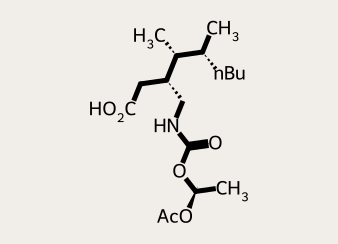 CCCC[C@@H](C)[C@@H](C)[C@H](CNC(=O)O[C@@H](C)OC(C)=O)CC(=O)O